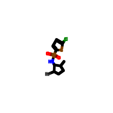 CCC1CCC(C)C1NS(=O)(=O)c1ccc(Cl)s1